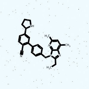 CCc1nc2c(C)cc(C)nc2n1Cc1ccc(-c2cc(C3CCCN3)ccc2C#N)cc1